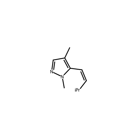 Cc1cnn(C)c1/C=C\C(C)C